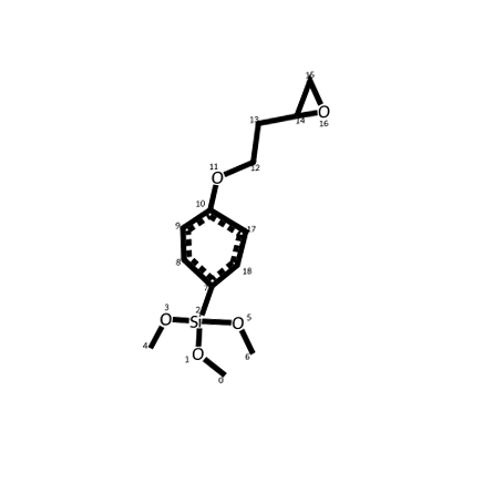 CO[Si](OC)(OC)c1ccc(OCCC2CO2)cc1